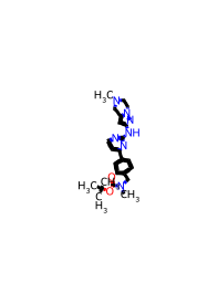 CN1CCn2nc(Nc3nccc(-c4ccc(CN(C)C(=O)OC(C)(C)C)cc4)n3)cc2C1